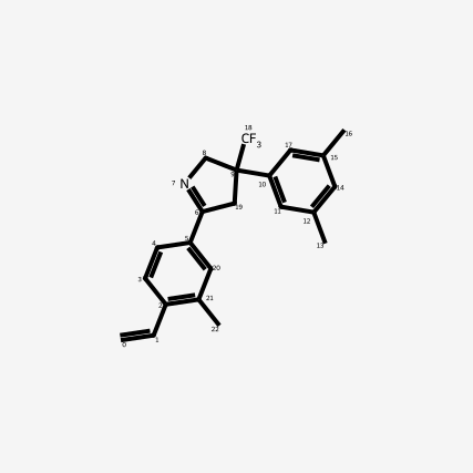 C=Cc1ccc(C2=NCC(c3cc(C)cc(C)c3)(C(F)(F)F)C2)cc1C